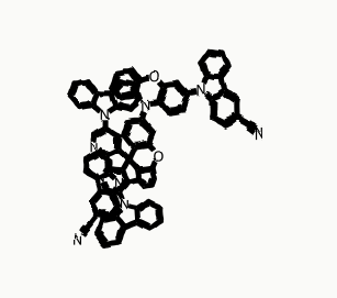 N#Cc1ccc2c(c1)c1ccccc1n2-c1ccc2c(c1)Oc1ccccc1N2c1ccc2c(c1)Oc1cccc(-n3c4ccccc4c4cc(C#N)ccc43)c1C21c2cc(-n3c4ccccc4c4ccccc43)cnc2-c2ncc(-n3c4ccccc4c4ccccc43)cc21